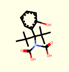 CC(C)(C)C(c1ccccc1O)(N(C(=O)O)C(=O)O)C(C)(C)C